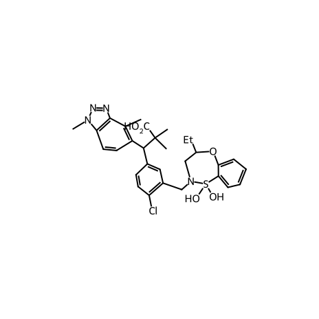 CCC1CN(Cc2cc(C(c3ccc4c(nnn4C)c3C)C(C)(C)C(=O)O)ccc2Cl)S(O)(O)c2ccccc2O1